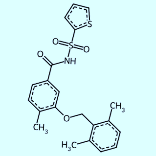 Cc1ccc(C(=O)NS(=O)(=O)c2cccs2)cc1OCc1c(C)cccc1C